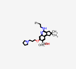 COc1cc2c3c(c(NCCC(C)C)nc2cc1OCCCN1CCCC1)CC(C)(C)C3.O=CO